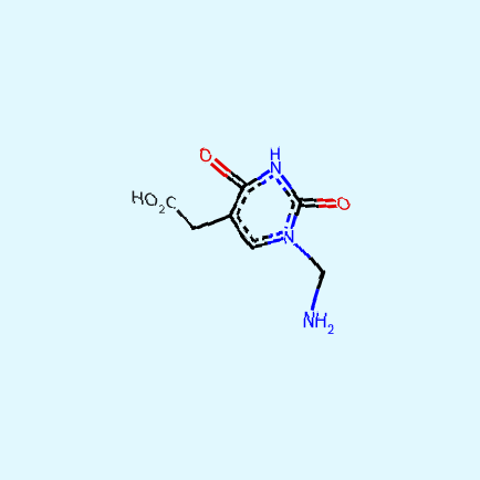 NCn1cc(CC(=O)O)c(=O)[nH]c1=O